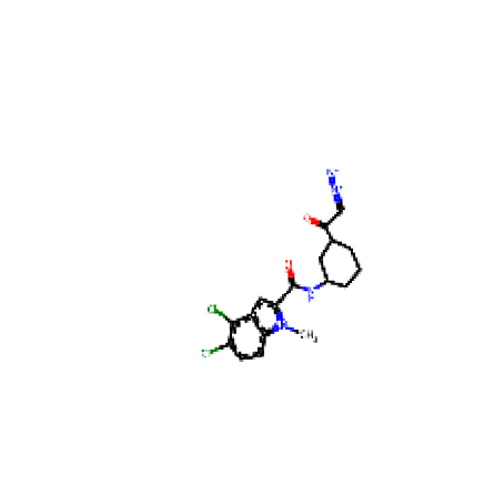 Cn1c(C(=O)NC2CCCC(C(=O)C=[N+]=[N-])C2)cc2c(Cl)c(Cl)ccc21